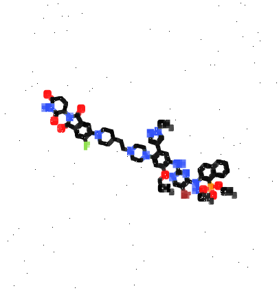 CCOc1cc(N2CCN(CCC3CCN(c4cc5c(cc4F)C(=O)N(C4CCC(=O)NC4=O)C5=O)CC3)CC2)c(-c2cnn(C)c2)cc1Nc1ncc(Br)c(Nc2ccc3ccccc3c2P(=O)(OC)OC)n1